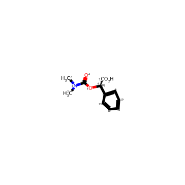 CN(C)C(=O)O[C@@H](C(=O)O)c1ccccc1